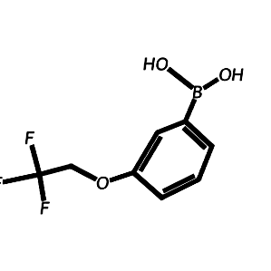 OB(O)c1cccc(OCC(F)(F)F)c1